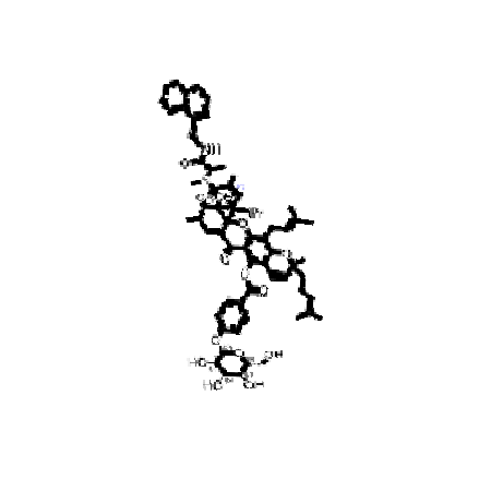 CC(C)=CCCC1(C)C=Cc2c(c(CC=C(C)C)c3c(c2OC(=O)c2ccc(O[C@@H]4O[C@H](CO)[C@@H](O)[C@H](O)[C@H]4O)cc2)C(=O)C2=CC(C)C(=O)C(O)(C/C=C(/C)C(=O)N(C)C(C)C(=O)NCc4cccc5ccccc45)C2(C(C)C(C)C)O3)O1